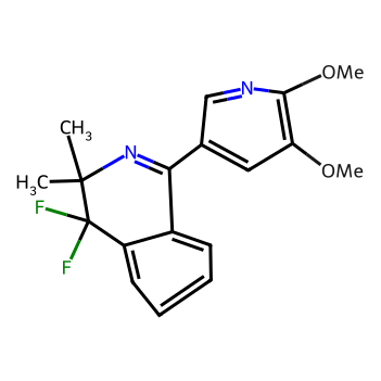 COc1cc(C2=NC(C)(C)C(F)(F)c3ccccc32)cnc1OC